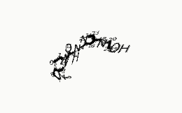 CCN(CC1CCCN1C)C(=O)CNCc1cc(/C=N/CCO)ccn1